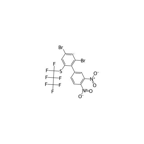 O=[N+]([O-])c1ccc(-c2c(Br)[c]c(Br)cc2SC(F)(F)C(F)(F)C(F)(F)F)cc1[N+](=O)[O-]